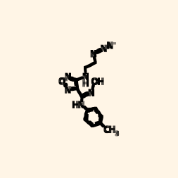 Cc1ccc(NC(=NO)c2nonc2NCCN=[N+]=[N-])cc1